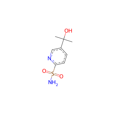 CC(C)(O)c1ccc(S(N)(=O)=O)nc1